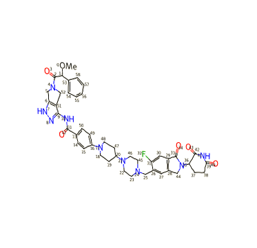 COC(C(=O)N1Cc2[nH]nc(NC(=O)c3ccc(N4CCC(N5CCN(Cc6cc7c(cc6F)C(=O)N(C6CCC(=O)NC6=O)C7)CC5)CC4)cc3)c2C1)c1ccccc1